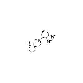 Cn1cnc2c(N3CCC4(CCCC4=O)CC3)cccc21